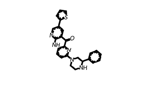 Nc1ncc(-c2cccs2)cc1C(=O)c1cccc(N2CCNC(c3ccccc3)C2)n1